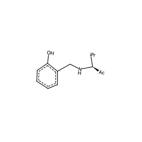 CC(=O)[C@@H](NCc1ccccc1O)C(C)C